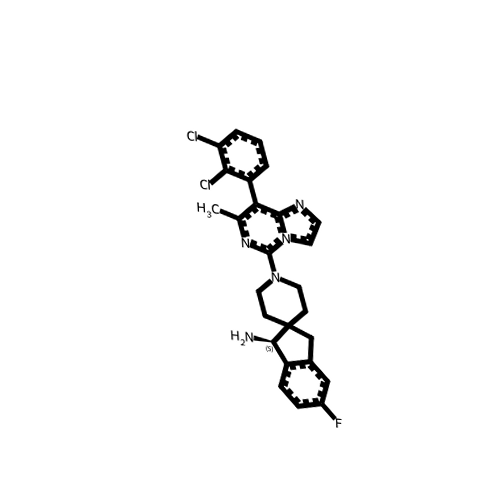 Cc1nc(N2CCC3(CC2)Cc2cc(F)ccc2[C@H]3N)n2ccnc2c1-c1cccc(Cl)c1Cl